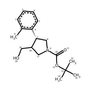 Cc1ccccc1[C@@H]1CN(C(=O)OC(C)(C)C)CC1CO